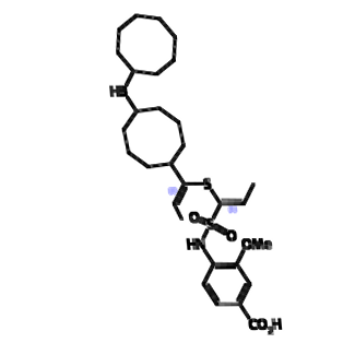 C/C=C(\S/C(=C\C)S(=O)(=O)Nc1ccc(C(=O)O)cc1OC)C1CCCC(BC2CCCCCCC2)CCC1